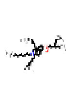 C=CCCCCC12CCN(CCCCCCCC)C(CCCCCCC)C1CCc1cc(OC(=O)CCC(CCCC)CCCC)ccc12